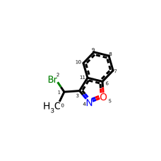 CC(Br)c1noc2ccccc12